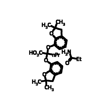 CCC(N)=O.CCCC(Oc1cccc2c1OC(C)(C)C2)(Oc1cccc2c1OC(C)(C)C2)C(=O)O